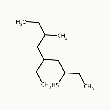 CCC(C)CC(CC)CC(S)CC